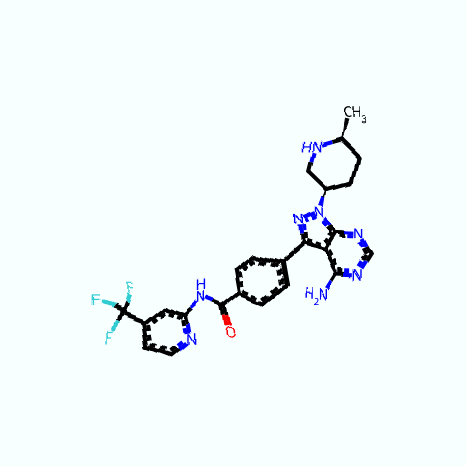 C[C@H]1CC[C@@H](n2nc(-c3ccc(C(=O)Nc4cc(C(F)(F)F)ccn4)cc3)c3c(N)ncnc32)CN1